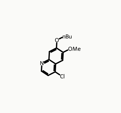 CCCCOc1cc2nccc(Cl)c2cc1OC